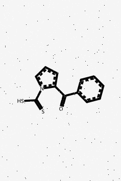 O=C(c1ccccc1)c1cccn1C(=S)S